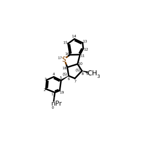 CCCc1cccc([C@@H]2C[C@H](C)C3c4ccccc4SC32)c1